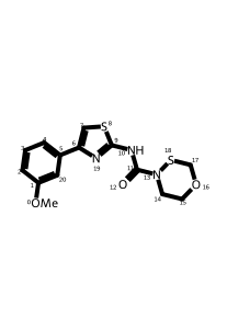 COc1cccc(-c2csc(NC(=O)N3CCOCS3)n2)c1